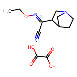 CCO/N=C(\C#N)C1CN2CCC1C2.O=C(O)C(=O)O